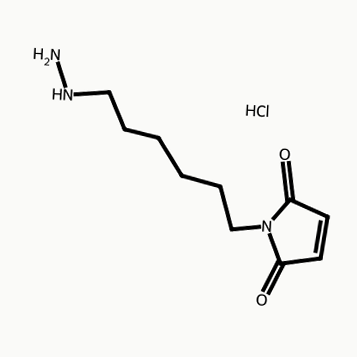 Cl.NNCCCCCCN1C(=O)C=CC1=O